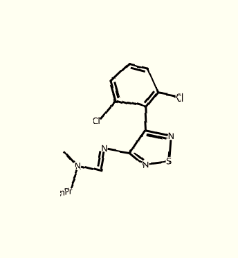 CCCN(C)C=Nc1nsnc1-c1c(Cl)cccc1Cl